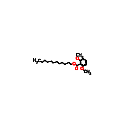 CCCCCCCCCCCCOC(=O)c1c(OC)cccc1OC